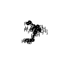 Cc1nn(C)c(C)c1-c1c(Cl)ccc2c(CCCOc3cccc4cc(F)ccc34)c(C(=O)OC(C)(C)C)n(CCC3CCC(NC(=O)COc4cccc5c4CN(C4CCC(=O)NC4=O)C5=O)CN3C)c12